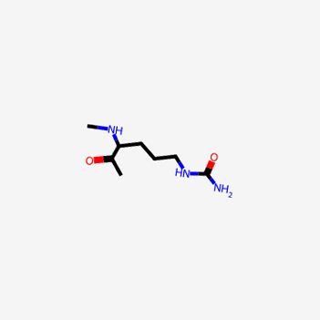 CNC(CCCNC(N)=O)C(C)=O